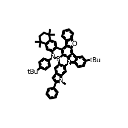 Cn1c(-c2ccccc2)cc2cc3c(cc21)-n1c2ccc(C(C)(C)C)cc2c2c4oc5ccccc5c4c4c(c21)B3N(c1ccc(C(C)(C)C)cc1)c1cc2c(cc1-4)C(C)(C)CCC2(C)C